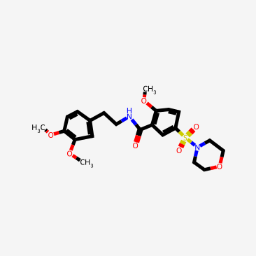 COc1ccc(CCNC(=O)c2cc(S(=O)(=O)N3CCOCC3)ccc2OC)cc1OC